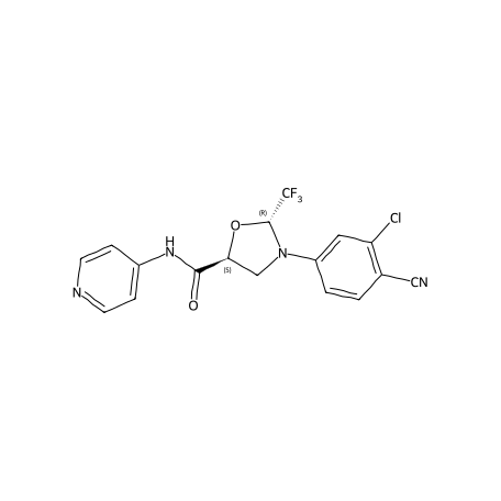 N#Cc1ccc(N2C[C@@H](C(=O)Nc3ccncc3)O[C@@H]2C(F)(F)F)cc1Cl